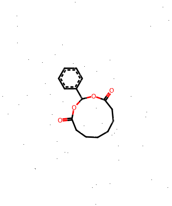 O=C1CCCCCCC(=O)OC(c2ccccc2)O1